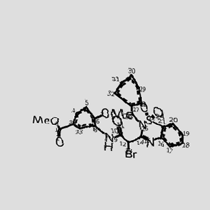 COC(=O)c1ccc(OC)c(NC(=O)C(Br)C2=Nc3ccccc3S(=O)(=O)N2Cc2ccccc2)c1